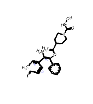 C=C(O/C(=C(N)/C(/C=C\CF)=C/C)c1ccccc1)C1CCN(C(=O)NO)CC1